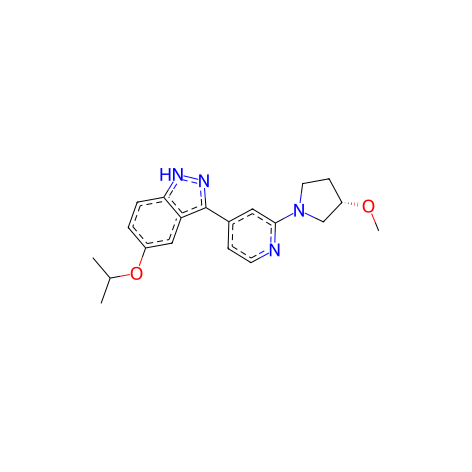 CO[C@H]1CCN(c2cc(-c3n[nH]c4ccc(OC(C)C)cc34)ccn2)C1